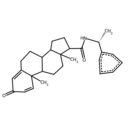 C[C@@H](NC(=O)C1CCC2C3CCC4=CC(=O)C=CC4(C)C3CCC12C)c1ccccc1